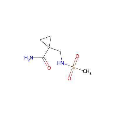 CS(=O)(=O)NCC1(C(N)=O)CC1